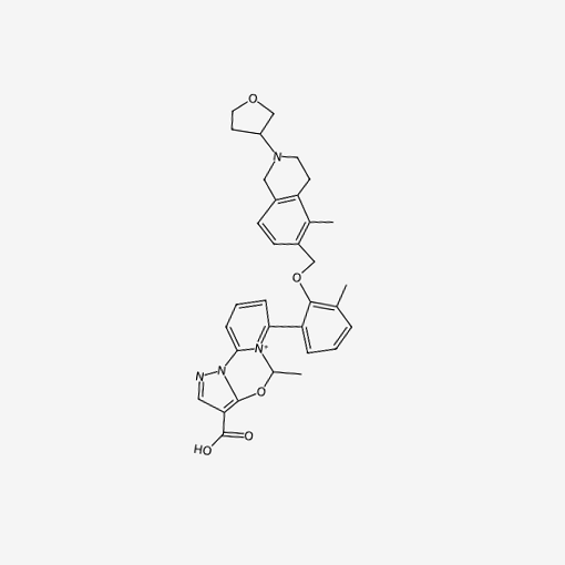 Cc1cccc(-c2cccc3[n+]2C(C)Oc2c(C(=O)O)cnn2-3)c1OCc1ccc2c(c1C)CCN(C1CCOC1)C2